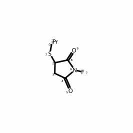 CC(C)SC1CC(=O)N(F)C1=O